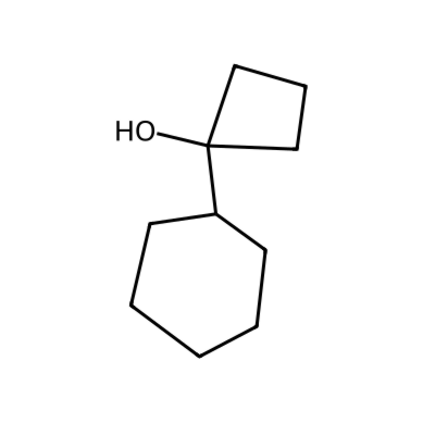 OC1(C2CCCCC2)CCC1